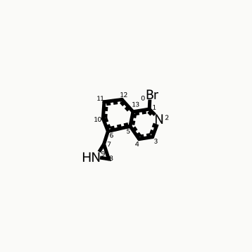 Brc1nccc2c(C3CN3)cccc12